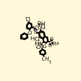 Cc1ccc(S(=O)(=O)Nc2cc(S(=O)(=O)O)cc3cc(S(=O)(=O)O)c(/N=N/c4cc(Cl)ccc4Oc4ccccc4)c(O)c23)cc1